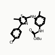 Cc1ccc(NC(=O)OCC(C)C)cc1Nc1nc(-c2ccc(Cl)cc2)c(C)s1